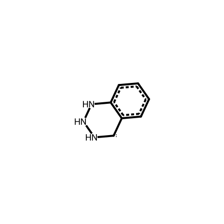 [C]1NNNc2ccccc21